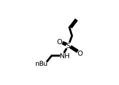 [CH2]CCCCNS(=O)(=O)CC=C